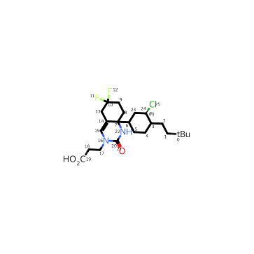 CC(C)(C)CCC1CCC(C23CCC(F)(F)CC2=CN(CCC(=O)O)C(=O)N3)C[C@H]1Cl